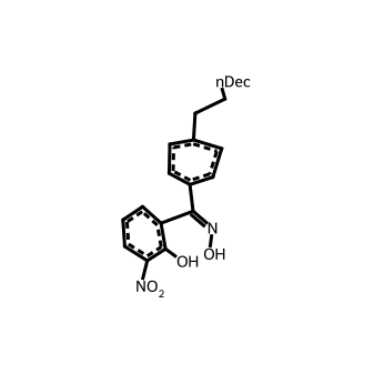 CCCCCCCCCCCCc1ccc(C(=NO)c2cccc([N+](=O)[O-])c2O)cc1